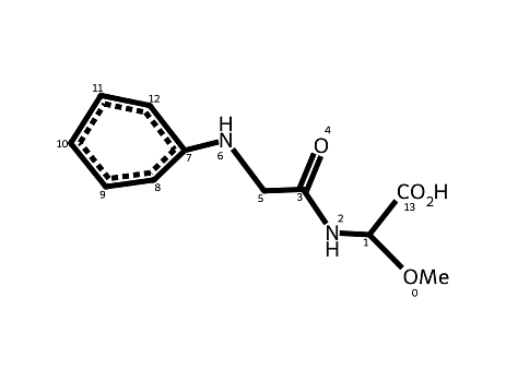 COC(NC(=O)CNc1ccccc1)C(=O)O